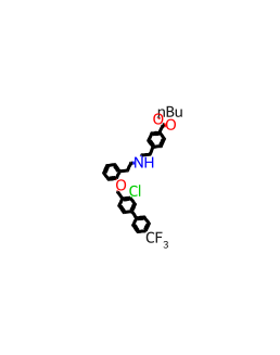 CCCCOC(=O)c1ccc(CCNCCc2ccccc2OCc2ccc(-c3ccc(C(F)(F)F)cc3)cc2Cl)cc1